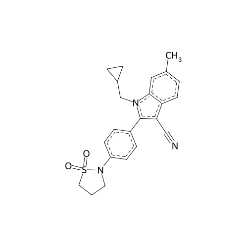 Cc1ccc2c(C#N)c(-c3ccc(N4CCCS4(=O)=O)cc3)n(CC3CC3)c2c1